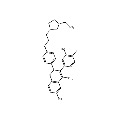 CC[C@@H]1CCN(CCOc2ccc(C3Oc4ccc(O)cc4C(C)=C3c3ccc(F)c(O)c3)cc2)C1